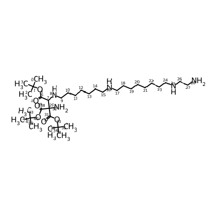 CC(C)(C)OC(=O)C(NCCCCCCCNCCCCCCCCNCCN)C(N)(C(=O)OC(C)(C)C)C(=O)OC(C)(C)C